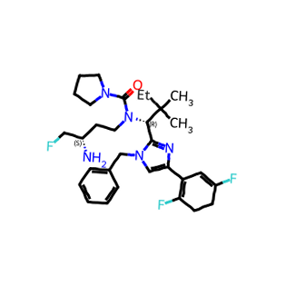 CCC(C)(C)[C@H](c1nc(C2=C(F)CCC(F)=C2)cn1Cc1ccccc1)N(CC[C@H](N)CF)C(=O)N1CCCC1